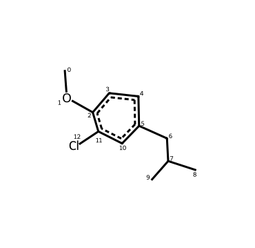 COc1ccc(CC(C)C)cc1Cl